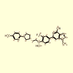 Cc1ccc(N2CC[C@H](CCOc3ccc(-c4cc5c(nnn5C)c(C#N)n4)cc3C(F)(F)F)C2)nc1.Cl